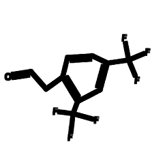 O=CCc1ccc(C(F)(F)F)cc1C(F)(F)F